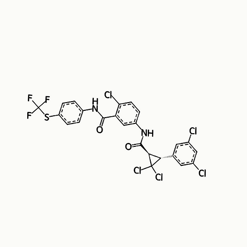 O=C(Nc1ccc(SC(F)(F)F)cc1)c1cc(NC(=O)[C@H]2[C@H](c3cc(Cl)cc(Cl)c3)C2(Cl)Cl)ccc1Cl